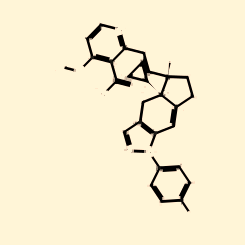 COc1ccnc(CC[C@]2(O)CCC3=Cc4c(cnn4-c4ccc(F)cc4)C[C@@]32C2CC2)c1C(N)=O